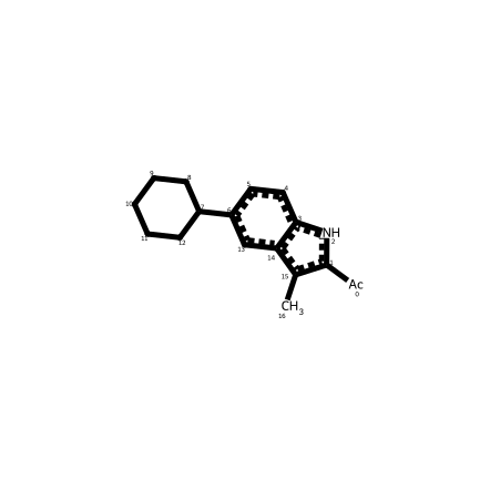 CC(=O)c1[nH]c2ccc(C3CCCCC3)cc2c1C